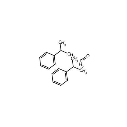 C=O.CC(C)c1ccccc1.CC(C)c1ccccc1